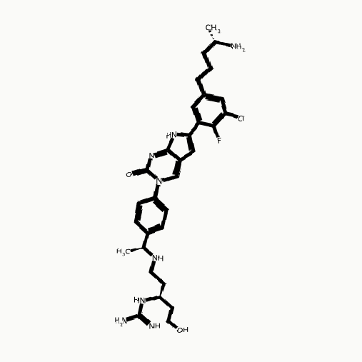 C[C@H](N)CCCc1cc(Cl)c(F)c(-c2cc3cn(-c4ccc([C@H](C)NCC[C@@H](CCO)NC(=N)N)cc4)c(=O)nc3[nH]2)c1